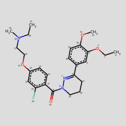 CCOc1cc(C2=NN(C(=O)c3ccc(OCCN(C)CC)cc3F)CCC2)ccc1OC